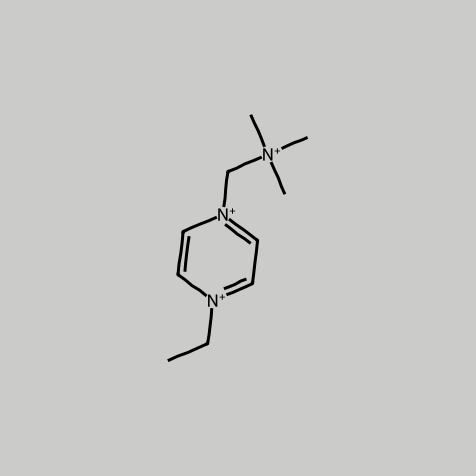 CC[n+]1cc[n+](C[N+](C)(C)C)cc1